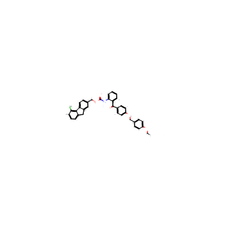 O=C(O)COc1ccc(COc2ccc(C(=O)c3ccccc3NC(=O)OCc3ccc4c(c3)Cc3cccc(Cl)c3-4)cc2)cc1